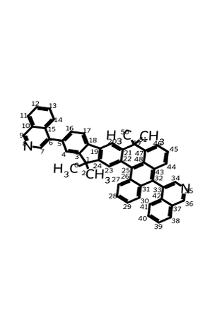 CC1(C)c2cc(-c3cncc4ccccc34)ccc2-c2cc3c(cc21)-c1c2ccccc2c(-c2cncc4ccccc24)c2cccc(c12)C3(C)C